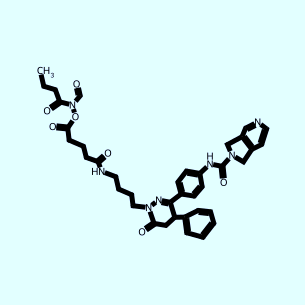 CCCC(=O)N(C=O)OC(=O)CCCC(=O)NCCCCN1N=C(c2ccc(NC(=O)N3Cc4ccncc4C3)cc2)C(c2ccccc2)CC1=O